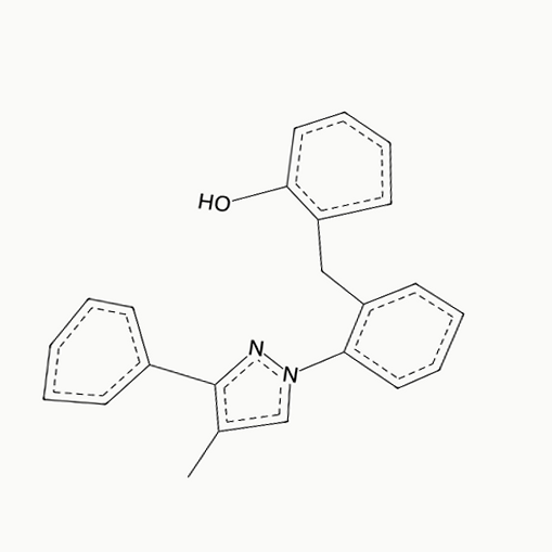 Cc1cn(-c2ccccc2Cc2ccccc2O)nc1-c1ccccc1